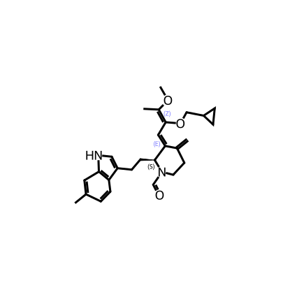 C=C1CCN(C=O)[C@@H](CCc2c[nH]c3cc(C)ccc23)/C1=C/C(OCC1CC1)=C(\C)OC